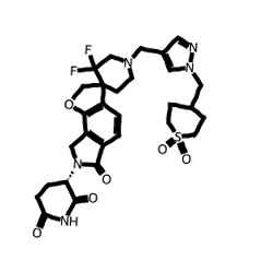 O=C1CC[C@H](N2Cc3c(ccc4c3OCC43CCN(Cc4cnn(CC5CCS(=O)(=O)CC5)c4)CC3(F)F)C2=O)C(=O)N1